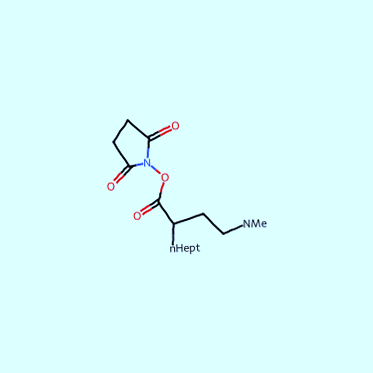 CCCCCCCC(CCNC)C(=O)ON1C(=O)CCC1=O